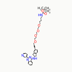 CC(C)(C)OC(=O)NCCCCCOCCOCCOCCOCC#Cc1ccc2c(c1)CC(Nc1nc(-c3cccnc3)nc3ccccc13)C2